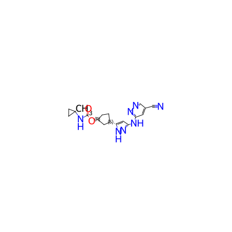 CC1(NC(=O)O[C@@H]2CC[C@H](c3cc(Nc4cc(C#N)cnn4)n[nH]3)C2)CC1